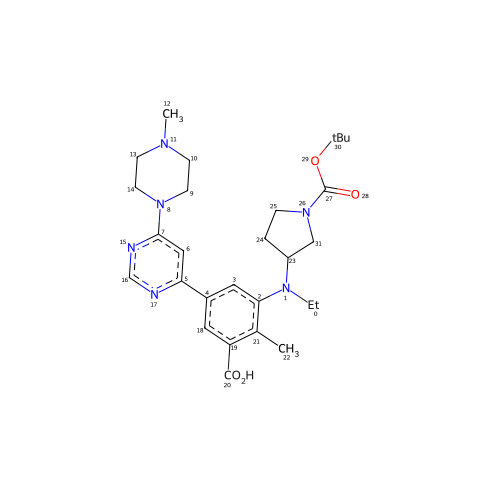 CCN(c1cc(-c2cc(N3CCN(C)CC3)ncn2)cc(C(=O)O)c1C)C1CCN(C(=O)OC(C)(C)C)C1